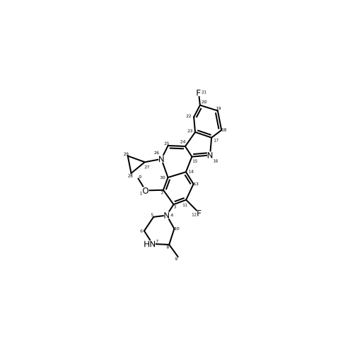 COc1c(N2CCNC(C)C2)c(F)cc2c3nc4ccc(F)cc4c-3cn(C3CC3)c12